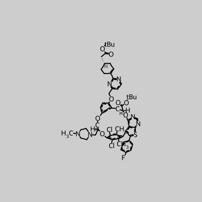 Cc1c(Cl)c2c(Cl)c(C)c1-c1c(-c3ccc(F)cc3)sc3ncnc(c13)O[C@@H](C(=O)OC(C)(C)C)Cc1cc(ccc1OCc1ccnc(C3=CC[C@@H](CC(=O)OC(C)(C)C)CC3)n1)OC[C@@H](CN1CCN(C)CC1)O2